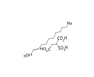 CCCCCCCCC=CCCCCCCC[CH2][Na].O=C(O)CC(C(=O)O)S(=O)(=O)O